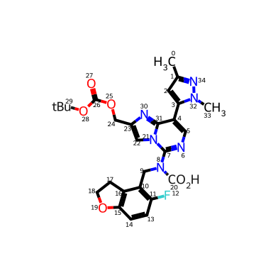 Cc1cc(-c2cnc(N(Cc3c(F)ccc4c3CCO4)C(=O)O)n3cc(COC(=O)OC(C)(C)C)nc23)n(C)n1